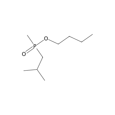 CCCCOP(C)(=O)CC(C)C